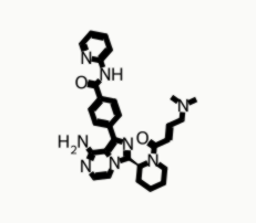 CN(C)C/C=C/C(=O)N1CCCC[C@H]1c1nc(-c2ccc(C(=O)Nc3ccccn3)cc2)c2c(N)nccn12